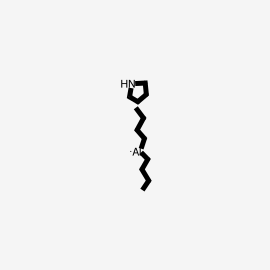 C1CCNC1.CCC[CH2][Al][CH2]CCC